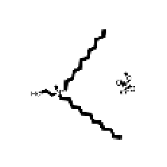 CCCCCCCCCCCC[N+](C)(CCO)CCCCCCCCCCCC.COS(=O)(=O)[O-]